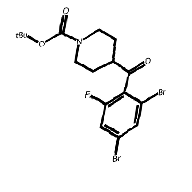 CC(C)(C)OC(=O)N1CCC(C(=O)c2c(F)cc(Br)cc2Br)CC1